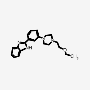 CCOCCN1CCN(c2cccc(-c3nc4ccccc4[nH]3)c2)CC1